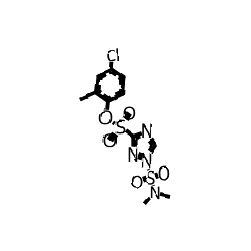 Cc1cc(Cl)ccc1OS(=O)(=O)c1ncn(S(=O)(=O)N(C)C)n1